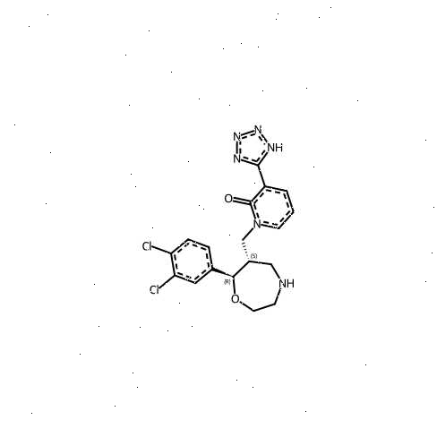 O=c1c(-c2nnn[nH]2)cccn1C[C@@H]1CNCCO[C@H]1c1ccc(Cl)c(Cl)c1